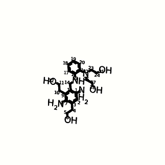 Nc1cc(CCO)c(N)c(CCO)c1CNc1ccccc1N(CCO)CCO